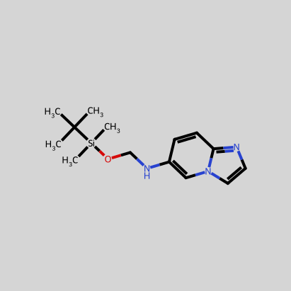 CC(C)(C)[Si](C)(C)OCNc1ccc2nccn2c1